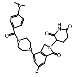 CN(C)c1ccc(C(=O)N2CCN(c3cc(F)cc4c3CN(C3CCC(=O)NC3=O)C4=O)CC2)cc1